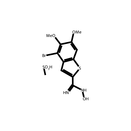 COc1cc2sc(C(=N)NO)cc2c(Br)c1OC.CS(=O)(=O)O